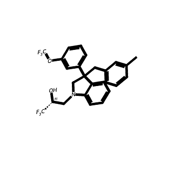 Cc1cccc(CC2(c3cccc(OC(F)(F)F)c3)CN(C[C@@H](O)C(F)(F)F)c3ccccc32)c1